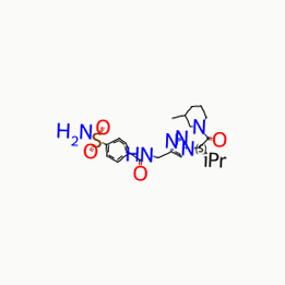 CC1CCCN(C(=O)[C@H](C(C)C)n2cc(CNC(=O)c3ccc(S(N)(=O)=O)cc3)nn2)C1